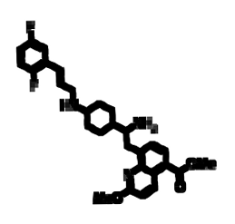 COC(=O)c1ccc(CC(N)C2CCC(NC/C=C/c3cc(F)ccc3F)CC2)c2nc(OC)ccc12